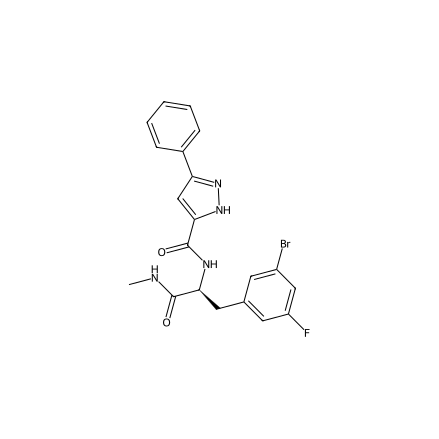 CNC(=O)[C@H](Cc1cc(F)cc(Br)c1)NC(=O)c1cc(-c2ccccc2)n[nH]1